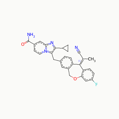 C/C(C#N)=C1/c2ccc(Cc3c(C4CC4)nc4cc(C(N)=O)ccn34)cc2COc2cc(F)ccc21